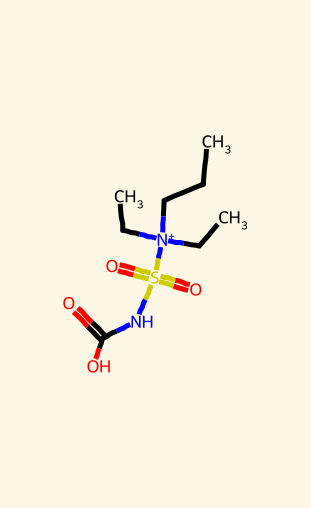 CCC[N+](CC)(CC)S(=O)(=O)NC(=O)O